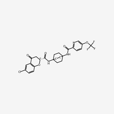 O=C(NC12CCC(NC(=O)[C@H]3CC(=O)c4cc(Cl)ccc4O3)(CC1)CC2)c1ccc(OC(F)(F)F)cn1